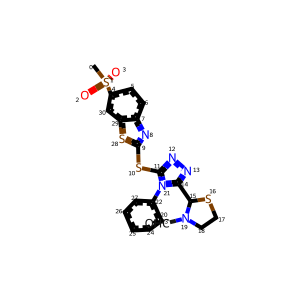 CS(=O)(=O)c1ccc2nc(Sc3nnc(C4SCCN4C=O)n3-c3ccccc3)sc2c1